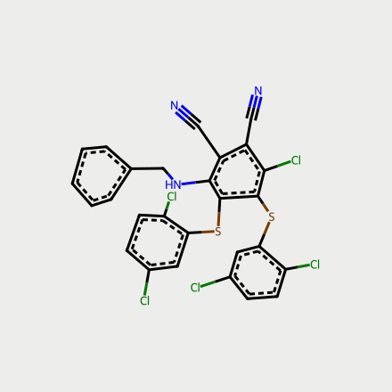 N#Cc1c(Cl)c(Sc2cc(Cl)ccc2Cl)c(Sc2cc(Cl)ccc2Cl)c(NCc2ccccc2)c1C#N